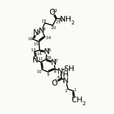 C=CCNC(=O)N(S)c1ccc2ncc(-c3cnn(CCC(N)=O)c3)nc2n1